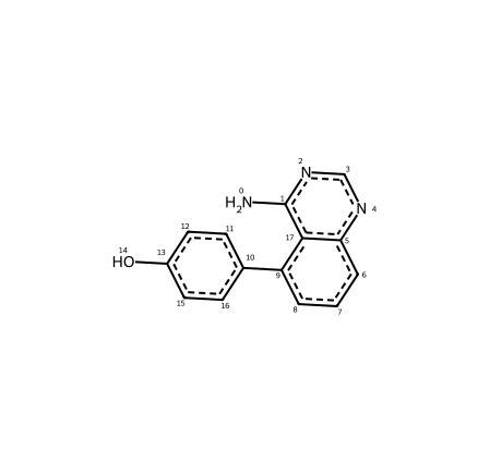 Nc1ncnc2cccc(-c3ccc(O)cc3)c12